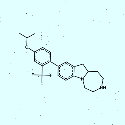 CC(C)Oc1ccc(-c2ccc3c(c2)CC2CCNCCN32)c(C(F)(F)F)c1